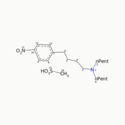 CCCCCN(CCCCC)CCCCc1ccc([N+](=O)[O-])cc1.CS(=O)(=O)O